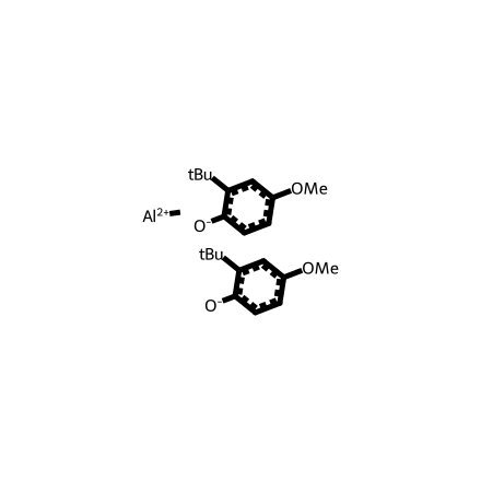 COc1ccc([O-])c(C(C)(C)C)c1.COc1ccc([O-])c(C(C)(C)C)c1.[CH3][Al+2]